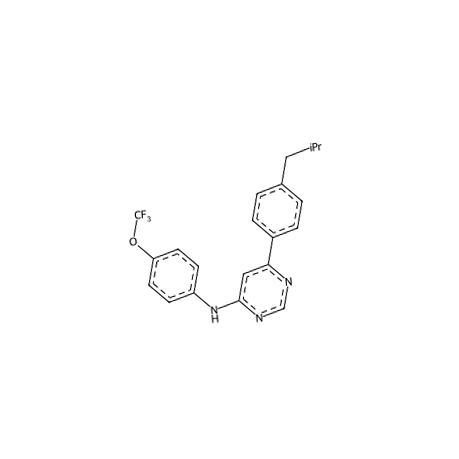 CC(C)Cc1ccc(-c2cc(Nc3ccc(OC(F)(F)F)cc3)ncn2)cc1